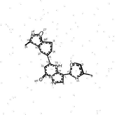 Cc1coc(-c2cnn3c(=O)cc(-c4ccc5onc(C)c5c4)[nH]c23)n1